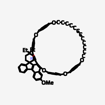 CCC1(CC)CCC2(CC1)c1ccccc1-c1c2c2c(c3cc(OC)ccc13)Oc1ccc(cc1)Oc1ccc(cc1)OCCCCCCCCCCCCOc1ccc(cc1)Oc1ccc(cc1)/C=C\2